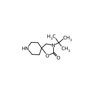 CC(C)(C)N1CC2(CCNCC2)OC1=O